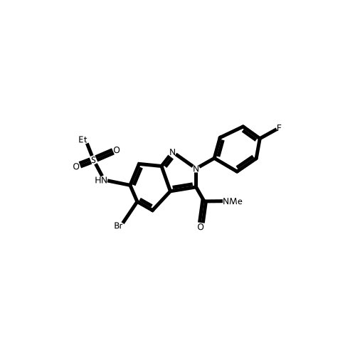 CCS(=O)(=O)Nc1cc2nn(-c3ccc(F)cc3)c(C(=O)NC)c2cc1Br